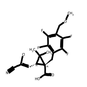 COCc1c(F)c(F)c(C[C@@]2(C(=O)O)[C@H](C=C(Cl)C#N)C2(C)C)c(F)c1F